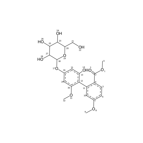 COC(=O)c1ccc(OC)cc1-c1c(O)cc(OC2OC(CO)C(O)C(O)C2O)cc1OC